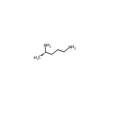 C[C@@H](N)CCCN